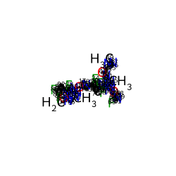 C=CC(=O)N1CC[C@@H](N(C)c2nc(OCC34CCCN3C(c3cc(F)c(Cl)c5c(-c6ncc7c(N(C)[C@@H]8CCN(C(=O)/C=C/c9ccnc(C)n9)C8)nc(OC[C@@]89CCCN8C[C@H](F)C9)nc7c6F)cccc35)CC4)nc3c(F)c(-c4cccc5c(F)cc(F)cc45)ncc23)C1